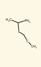 CCCSC(C)P